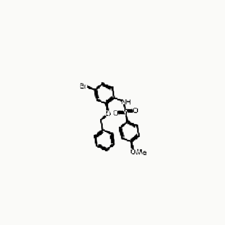 COc1ccc(S(=O)(=O)Nc2ccc(Br)cc2OCc2ccccc2)cc1